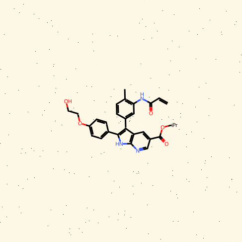 C=CC(=O)Nc1cc(-c2c(-c3ccc(OCCO)cc3)[nH]c3ncc(C(=O)OC(C)C)cc23)ccc1C